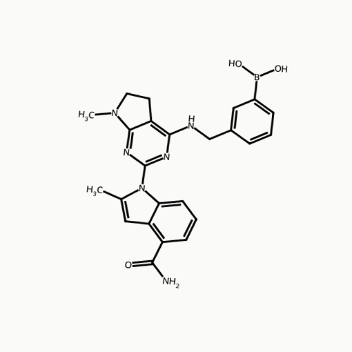 Cc1cc2c(C(N)=O)cccc2n1-c1nc(NCc2cccc(B(O)O)c2)c2c(n1)N(C)CC2